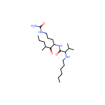 CCCCCCNC(C(=O)NC(CCCNC(N)=O)C(=O)C(C)CCC)C(C)C